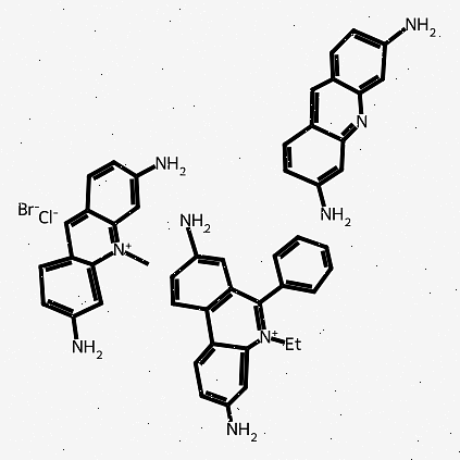 CC[n+]1c(-c2ccccc2)c2cc(N)ccc2c2ccc(N)cc21.C[n+]1c2cc(N)ccc2cc2ccc(N)cc21.Nc1ccc2cc3ccc(N)cc3nc2c1.[Br-].[Cl-]